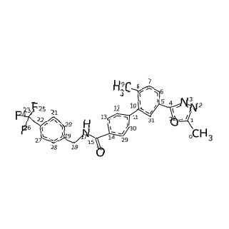 Cc1nnc(-c2ccc(C)c(-c3ccc(C(=O)NCc4ccc(C(F)(F)F)cc4)cc3)c2)o1